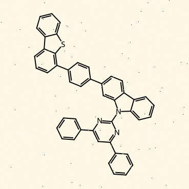 c1ccc(-c2cc(-c3ccccc3)nc(-n3c4ccccc4c4ccc(-c5ccc(-c6cccc7c6sc6ccccc67)cc5)cc43)n2)cc1